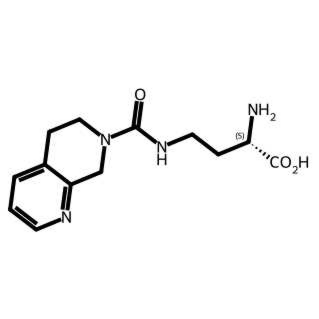 N[C@@H](CCNC(=O)N1CCc2cccnc2C1)C(=O)O